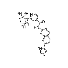 [2H]C1([2H])CCC([2H])([2H])N1c1cc(C(=O)Nc2cc3cc(-c4cncn4C)ccc3nn2)ccn1